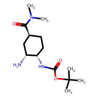 CN(C)C(=O)[C@H]1CC[C@H](NC(=O)OC(C)(C)C)[C@H](N)C1